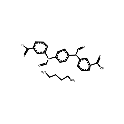 NCCCCN.O=CN(c1ccc(N(C=O)c2cccc(C(=O)O)c2)cc1)c1cccc(C(=O)O)c1